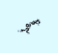 C=C(/C(C)=C\C(=C/CC)OCCC(C)(C)O)c1cccc2c1OC[C@H]2Oc1ccc(C2CC(=O)NS(=O)(=O)N2)cc1